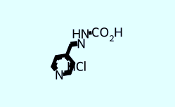 Cl.O=C(O)NN=Cc1ccncc1